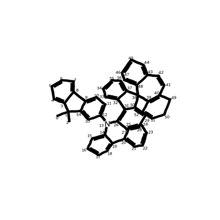 CC1(C)c2ccccc2-c2ccc(N(c3ccccc3-c3ccccc3)c3cccc4c3-c3ccccc3C43C4=C(C=Cc5ccccc53)CCC=C4)cc21